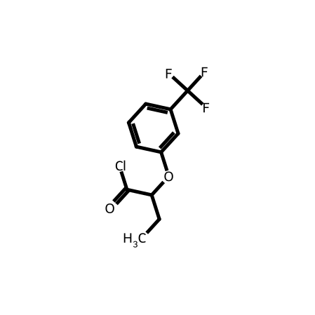 CCC(Oc1cccc(C(F)(F)F)c1)C(=O)Cl